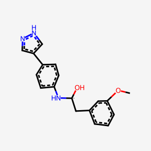 COc1cccc(C[C](O)Nc2ccc(-c3cn[nH]c3)cc2)c1